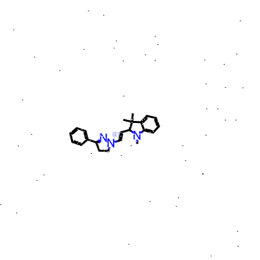 CN1c2ccccc2C(C)(C)C1/C=C/N1CCC(c2ccccc2)=N1